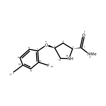 CNC(=O)[C@H]1C[C@H](Oc2ccc(I)cc2F)CN1